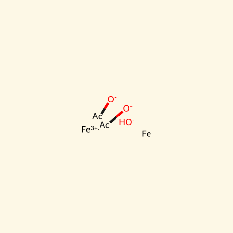 CC(=O)[O-].CC(=O)[O-].[Fe+3].[Fe].[OH-]